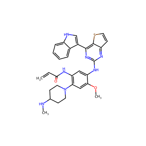 C=CC(=O)Nc1cc(Nc2nc(-c3c[nH]c4ccccc34)c3sccc3n2)c(OC)cc1N1CCC(NC)CC1